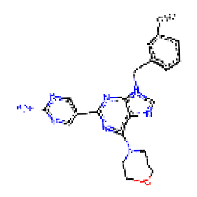 COc1cccc(Cn2cnc3c(N4CCOCC4)nc(-c4cnc(N)nc4)nc32)c1